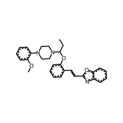 CCC(Oc1ccccc1/C=C/c1nc2ccccc2o1)N1CCN(c2ccccc2OC)CC1